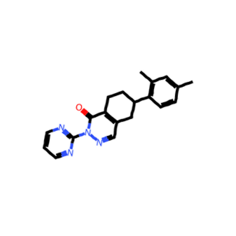 Cc1ccc(C2CCc3c(cnn(-c4ncccn4)c3=O)C2)c(C)c1